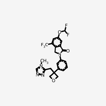 Cn1cnnc1CC1(c2cccc(N3Cc4c(cc(OC(F)F)cc4C(F)(F)F)C3=O)c2)COC1